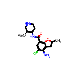 CO[C@H]1CNCC[C@H]1NC(=O)c1cc(Cl)c(N)c2c1OC(C)C2